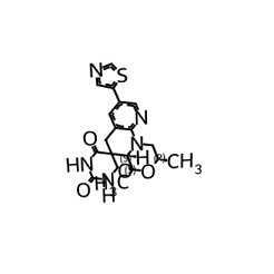 C[C@@H]1CN2c3ncc(-c4cncs4)cc3CC3(C(=O)NC(=O)NC3=O)[C@H]2[C@H](C)O1